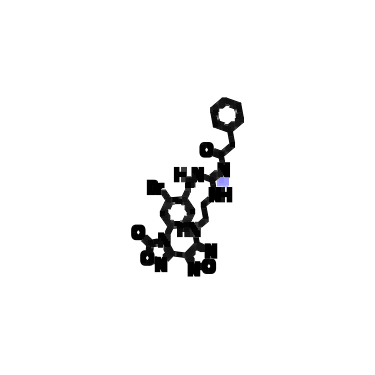 N/C(=N\C(=O)Cc1ccccc1)NCCNc1nonc1-c1noc(=O)n1-c1ccc(F)c(Br)c1